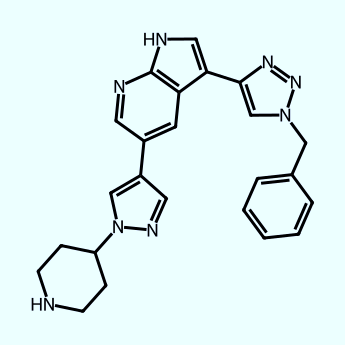 c1ccc(Cn2cc(-c3c[nH]c4ncc(-c5cnn(C6CCNCC6)c5)cc34)nn2)cc1